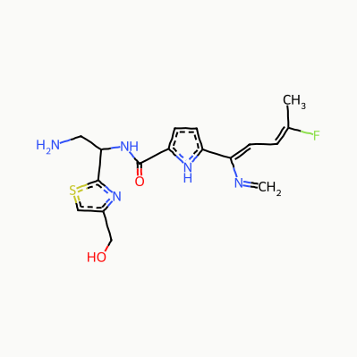 C=N/C(=C\C=C(/C)F)c1ccc(C(=O)NC(CN)c2nc(CO)cs2)[nH]1